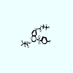 CN(C)C(C)(C)C(=O)NC[C@H]1CN(S(=O)(=O)c2ccc(F)cc2)c2cc(NC(=O)OC(C)(C)C(F)(F)F)ccc2O1